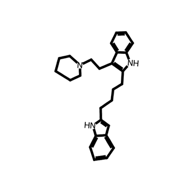 c1ccc2[nH]c(CCCCc3[nH]c4ccccc4c3CCN3CCCCC3)cc2c1